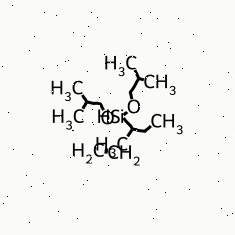 C=C.CCC(C)[SiH](OCC(C)C)OCC(C)C